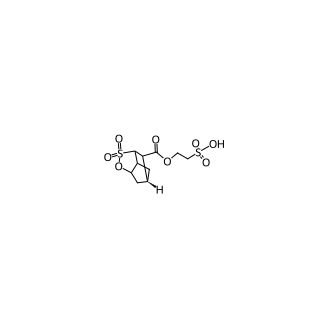 O=C(OCCS(=O)(=O)O)C1C2C3C[C@@H]1CC3OS2(=O)=O